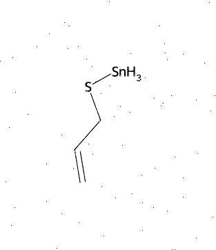 C=CC[S][SnH3]